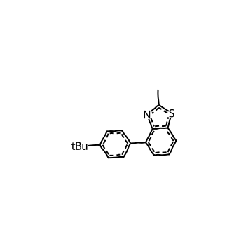 Cc1nc2c(-c3ccc(C(C)(C)C)cc3)cccc2s1